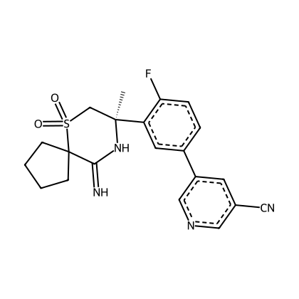 C[C@@]1(c2cc(-c3cncc(C#N)c3)ccc2F)CS(=O)(=O)C2(CCCC2)C(=N)N1